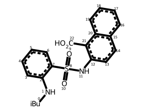 CCC(C)Nc1ccccc1S(=O)(=O)Nc1ccc2ccccc2c1C(=O)O